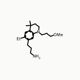 CCc1cc2c(cc1CCCN)N(CCCOC)CCC2(C)C